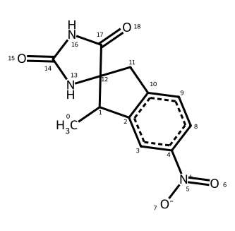 CC1c2cc([N+](=O)[O-])ccc2CC12NC(=O)NC2=O